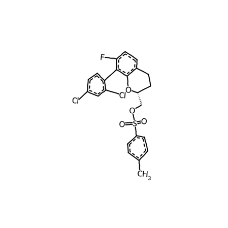 Cc1ccc(S(=O)(=O)OC[C@H]2CCc3ccc(F)c(-c4ccc(Cl)cc4Cl)c3O2)cc1